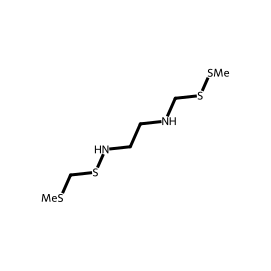 CSCSNCCNCSSC